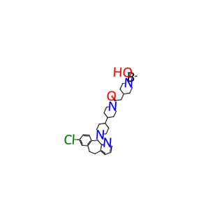 CB(O)N1CCC(CC(=O)N2CCC(C3CCN(C4c5ccc(Cl)cc5CCc5cccnc54)CC3)CC2)CC1